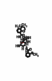 COc1ccccc1C(=O)NC[C@@H]1NC(=N)N2C[C@H](NC(=O)c3cccc4c3OCCC4(C)C)C(O)(O)[C@@]23NC(=N)N[C@@H]13